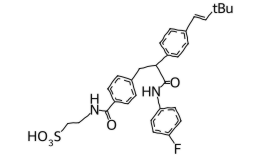 CC(C)(C)/C=C/c1ccc(C(Cc2ccc(C(=O)NCCS(=O)(=O)O)cc2)C(=O)Nc2ccc(F)cc2)cc1